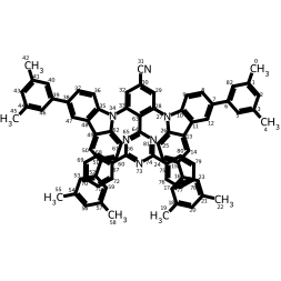 Cc1cc(C)cc(-c2ccc3c(c2)c2cc(-c4cc(C)cc(C)c4)ccc2n3-c2cc(C#N)cc(-n3c4ccc(-c5cc(C)cc(C)c5)cc4c4cc(-c5cc(C)cc(C)c5)ccc43)c2-c2nc(-c3ccccc3)nc(-c3ccccc3)n2)c1